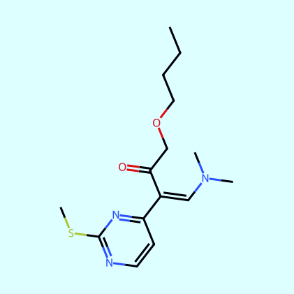 CCCCOCC(=O)C(=CN(C)C)c1ccnc(SC)n1